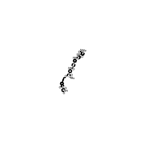 CNC(=O)c1ncccc1Nc1nc(Nc2ccc(N3CCN(C(=O)N[C@H]4CC[C@H](N(CCOCCC#Cc5ccc6c(c5)CN(C5CCC(=O)NC5=O)C6=O)C(=O)OC(C)(C)C)CC4)CC3)cc2)ncc1Cl